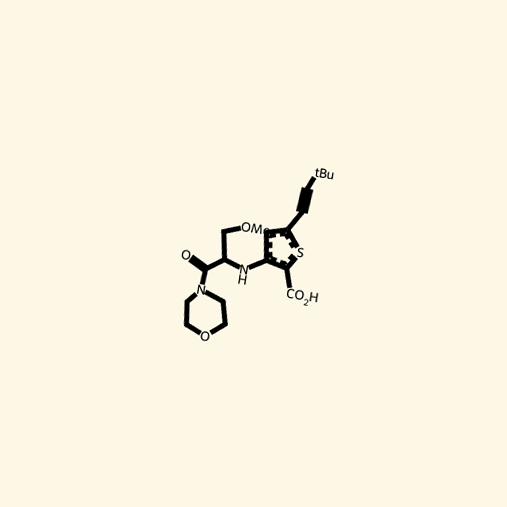 COCC(Nc1cc(C#CC(C)(C)C)sc1C(=O)O)C(=O)N1CCOCC1